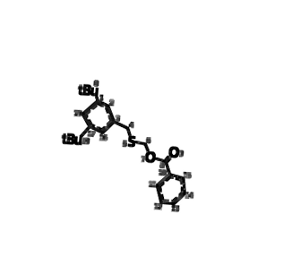 CC(C)(C)c1cc(CSCOC(=O)c2ccccc2)cc(C(C)(C)C)c1